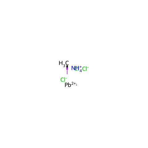 CI.[Cl-].[Cl-].[Cl-].[NH4+].[Pb+2]